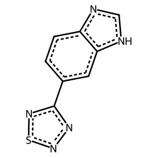 c1nc2ccc(-c3nnsn3)cc2[nH]1